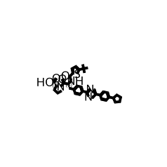 CC(C)(C)c1ccc(C(=O)N[C@@H](Cc2ccc(-c3ncc(-c4ccc(C5CCCC5)cc4)cn3)cc2)C(=O)N2CCC[C@H]2C(=O)O)s1